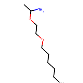 CCCCCCCCCCCCOCCOC(C)N